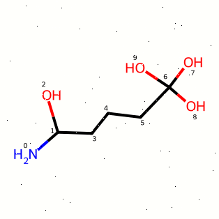 NC(O)CCCC(O)(O)O